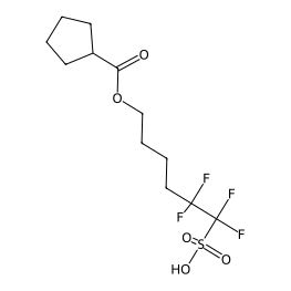 O=C(OCCCCC(F)(F)C(F)(F)S(=O)(=O)O)C1CCCC1